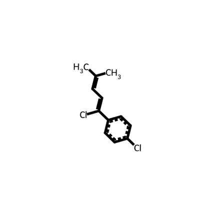 CC(C)=CC=C(Cl)c1ccc(Cl)cc1